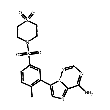 Cc1ccc(S(=O)(=O)N2CCS(=O)(=O)CC2)cc1-c1cnc2c(N)ncnn12